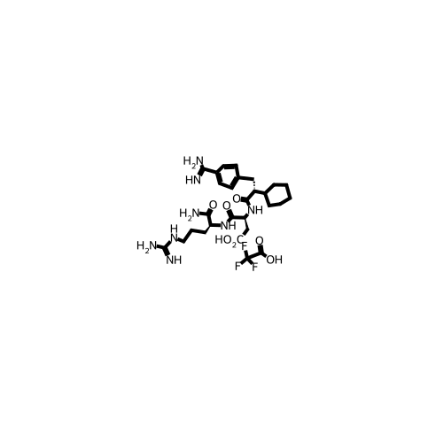 N=C(N)NCCC[C@H](NC(=O)[C@H](CC(=O)O)NC(=O)[C@H](Cc1ccc(C(=N)N)cc1)C1CCCCC1)C(N)=O.O=C(O)C(F)(F)F